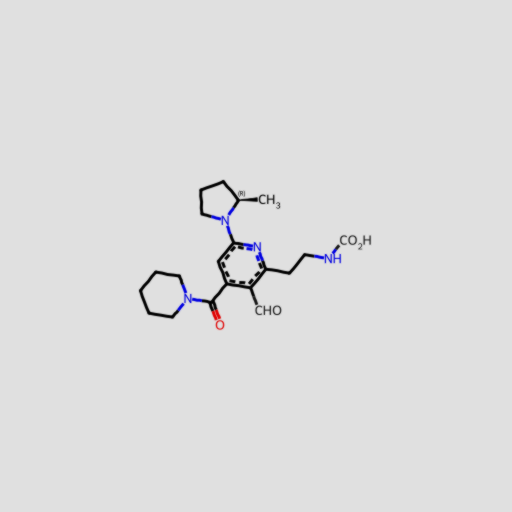 C[C@@H]1CCCN1c1cc(C(=O)N2CCCCC2)c(C=O)c(CCNC(=O)O)n1